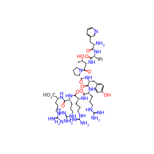 CC(C)[C@H](NC(=O)[C@@H](N)Cc1cccnc1)C(=O)N[C@H](C(=O)N1CCC[C@H]1C(=O)N[C@@H](Cc1ccc(O)cc1)C(=O)N[C@@H](CCCNC(=N)N)C(=O)N[C@@H](CCCNC(=N)N)C(=O)N[C@@H](CCCNC(=N)N)C(=O)N[C@@H](CCCNC(=N)N)C(=O)O)[C@@H](C)O